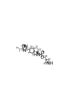 CCc1nc(-c2ccc3c(c2)CC[C@H]3NC(=O)OCC2CNC2)no1